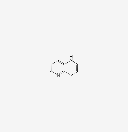 [c]1ccc2c(n1)CC=CN2